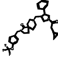 O=C(CC1CC1)N1CC(CN2CCC3(CC2)CCN(Cc2ccc(OC(F)(F)F)cc2)C3=O)C(c2ccccc2)C1